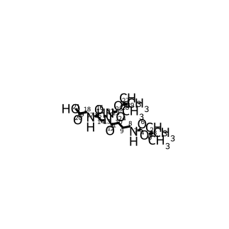 CC(C)(C)OC(=O)NCCCC(=O)N(CC(=O)NCC(=O)O)NC(=O)OC(C)(C)C